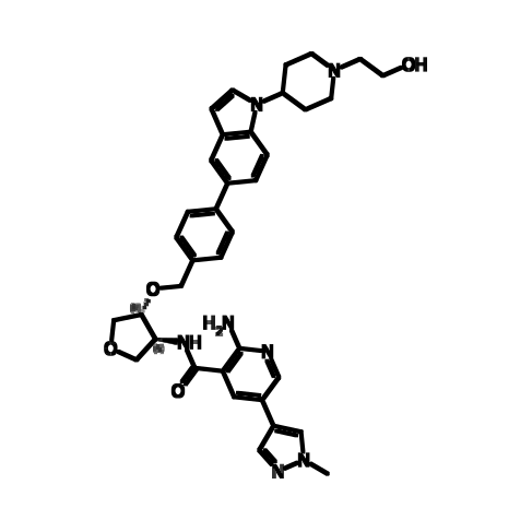 Cn1cc(-c2cnc(N)c(C(=O)N[C@H]3COC[C@@H]3OCc3ccc(-c4ccc5c(ccn5C5CCN(CCO)CC5)c4)cc3)c2)cn1